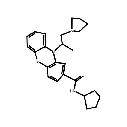 CC(CN1CCCC1)N1c2ccccc2Sc2ccc(C(=O)NC3CCCC3)cc21